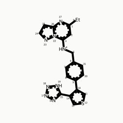 CCc1cc(NCc2ccc(-c3cscc3-c3nnn[nH]3)cc2)n2nccc2n1